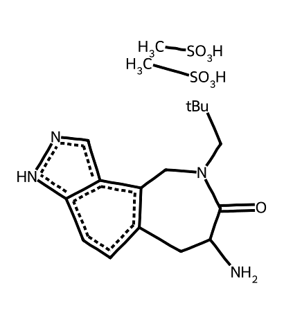 CC(C)(C)CN1Cc2c(ccc3[nH]ncc23)CC(N)C1=O.CS(=O)(=O)O.CS(=O)(=O)O